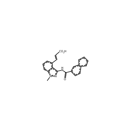 Cn1nc(NC(=O)c2ccc3ccccc3c2)c2c(C=CC(=O)O)cccc21